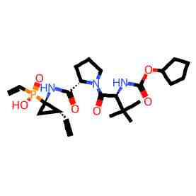 C=C[C@@H]1C[C@]1(NC(=O)[C@@H]1CCCN1C(=O)[C@@H](NC(=O)OC1CCCC1)C(C)(C)C)P(=O)(O)C=C